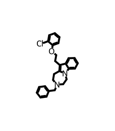 Clc1ccccc1OCCc1c2n(c3ccccc13)CCN(Cc1ccccc1)CC2